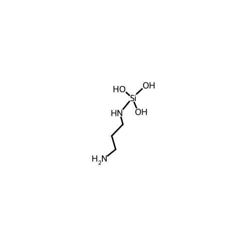 NCCCN[Si](O)(O)O